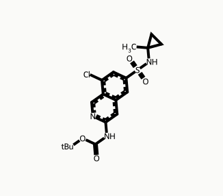 CC1(NS(=O)(=O)c2cc(Cl)c3cnc(NC(=O)OC(C)(C)C)cc3c2)CC1